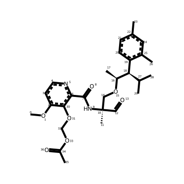 COc1ccnc(C(=O)N[C@](C)(C=O)CO[C@@H](C)[C@@H](c2ccc(C)cc2C)C(C)C)c1OCOC(C)=O